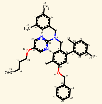 Cc1cc(CN(Cc2cc(C(F)(F)F)cc(C(F)(F)F)c2)c2ncc(OCCCC=O)cn2)c(-c2cc(C(C)C)ccc2C)cc1OCc1ccccc1